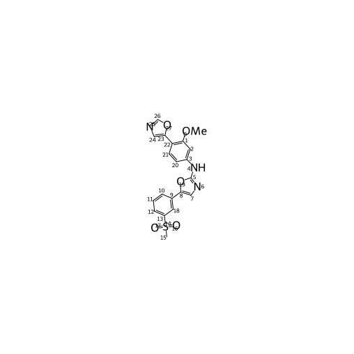 COc1cc(Nc2ncc(-c3cccc(S(C)(=O)=O)c3)o2)ccc1-c1cnco1